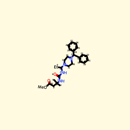 CCC(NC(=O)NC(C)(C)CC(=O)OC)N1CCN(C(c2ccccc2)c2ccccc2)CC1